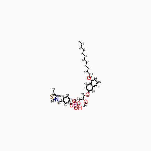 CCCCCCCCCCCCOc1cccc2cc(OCC(COP(=O)(O)Oc3cccc(C[n+]4csc(C)c4)c3)OC)ccc12